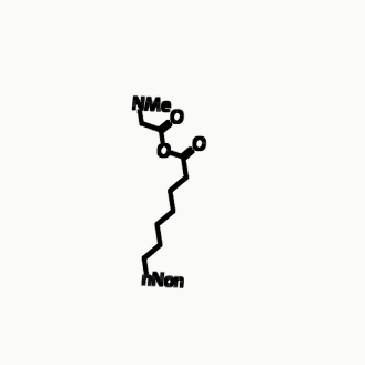 CCCCCCCCCCCCCCCC(=O)OC(=O)CNC